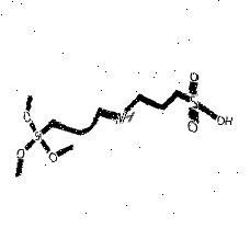 CO[Si](CCCNCCCS(=O)(=O)O)(OC)OC